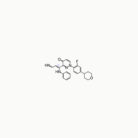 N=C/C=C(\Nc1ccccc1)c1nn(-c2ccc(C3CCOCC3)cc2F)ccc1=O